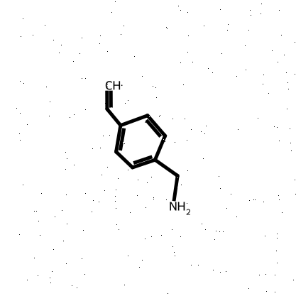 [CH]=Cc1ccc(CN)cc1